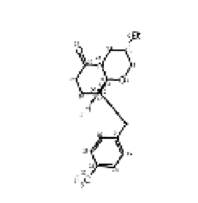 CC[C@@H]1CO[C@@]23CCN(Cc4ccc(C(F)(F)F)cc4)C[C@@H]2CCC(=O)N3C1